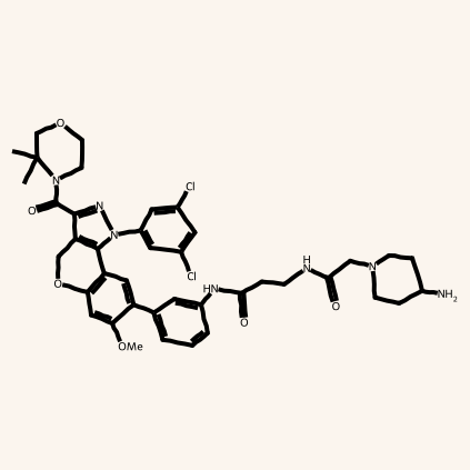 COc1cc2c(cc1-c1cccc(NC(=O)CCNC(=O)CN3CCC(N)CC3)c1)-c1c(c(C(=O)N3CCOCC3(C)C)nn1-c1cc(Cl)cc(Cl)c1)CO2